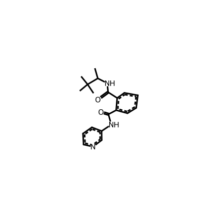 CC(NC(=O)c1ccccc1C(=O)Nc1cccnc1)C(C)(C)C